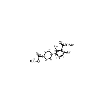 COC(=O)c1c(Br)cnc(N2CCN(C(=O)OC(C)(C)C)CC2)c1F